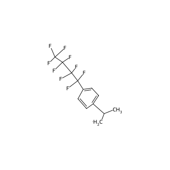 [CH2]C(C)c1ccc(C(F)(F)C(F)(F)C(F)(F)C(F)(F)F)cc1